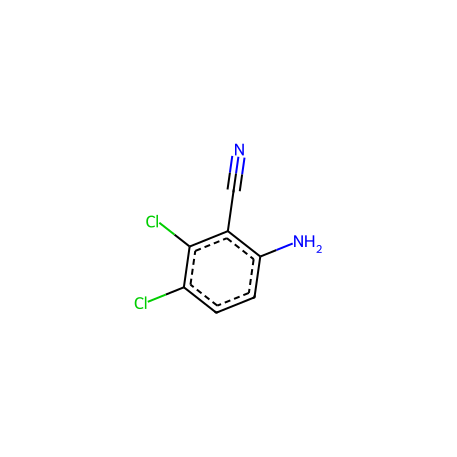 N#Cc1c(N)ccc(Cl)c1Cl